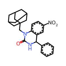 O=C1NC(c2ccccc2)c2cc([N+](=O)[O-])ccc2N1CC12CC3CC(CC(C3)C1)C2